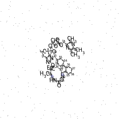 CCOc1nc2cccc(C(=O)OC(C)OC(=O)OCc3nc(C)c(C)nc3C)c2n1Cc1ccc(-c2ccccc2/C2=N/OC(=O)N/C=C(/C)CCCC2)cc1